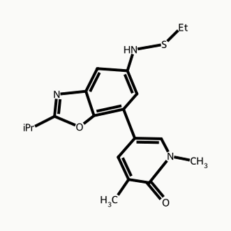 CCSNc1cc(-c2cc(C)c(=O)n(C)c2)c2oc(C(C)C)nc2c1